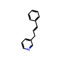 [C](=Cc1ccccc1)Cc1cccnc1